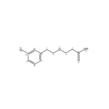 O=C(O)CCOCCc1cccc(Cl)c1